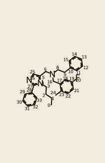 CCCCn1c(CN(CCc2ccccc2)Cc2cc(F)ccc2C)cnc1-c1ccccc1